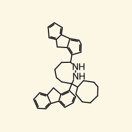 c1ccc2c(c1)Cc1c-2cccc1C1CCCCC(c2cccc3c2Cc2ccccc2-3)(C2CCCCCCC2)NN1